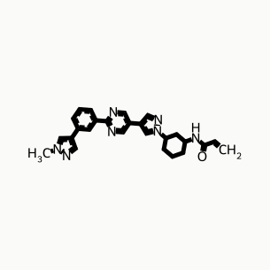 C=CC(=O)NC1CCCC(n2cc(-c3cnc(-c4cccc(-c5cnn(C)c5)c4)nc3)cn2)C1